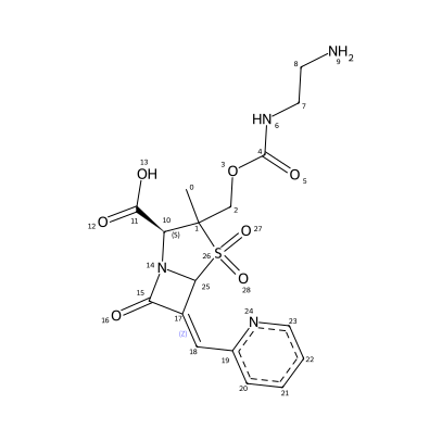 CC1(COC(=O)NCCN)[C@H](C(=O)O)N2C(=O)/C(=C/c3ccccn3)C2S1(=O)=O